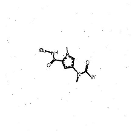 CCC(C)NC(=O)c1cc(N(C)C(=O)C(C)C)cn1C